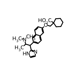 CC(C(c1ccc2cc(OCC3(C(=O)O)CCCCC3)ccc2c1)c1ncc[nH]1)N(C)C